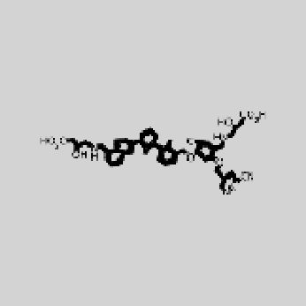 Cc1c(COc2cc(OCc3cncc(C#N)c3)c(CNCC(O)CC(=O)O)cc2Cl)cccc1-c1cccc(-c2ccc3c(CNCC(O)CC(=O)O)cccc3c2)c1C